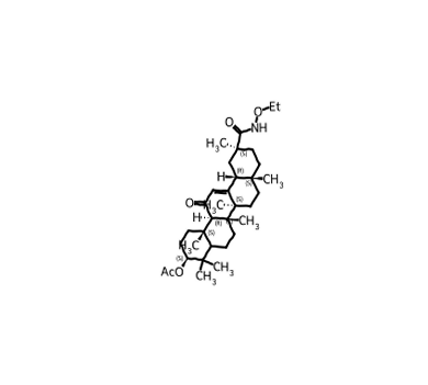 CCONC(=O)[C@@]1(C)CC[C@]2(C)CC[C@]3(C)C(=CC(=O)[C@@H]4[C@@]5(C)CC[C@H](OC(C)=O)C(C)(C)C5CC[C@]43C)[C@@H]2C1